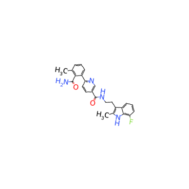 Cc1cccc(-c2ccc(C(=O)NCCc3c(C)[nH]c4c(F)cccc34)cn2)c1C(N)=O